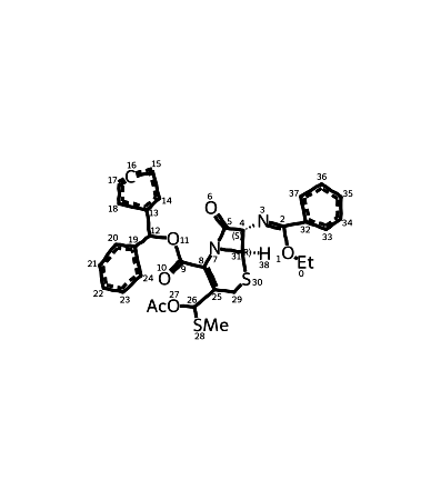 CCOC(=N[C@H]1C(=O)N2C(C(=O)OC(c3ccccc3)c3ccccc3)=C(C(OC(C)=O)SC)CS[C@H]12)c1ccccc1